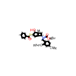 COc1ccc(CN(C(=O)OC(C)(C)C)[C@@H]2C[C@H]3C2C[C@@H](SC(=O)c2ccccc2)[C@@H]3O)c(OC)c1